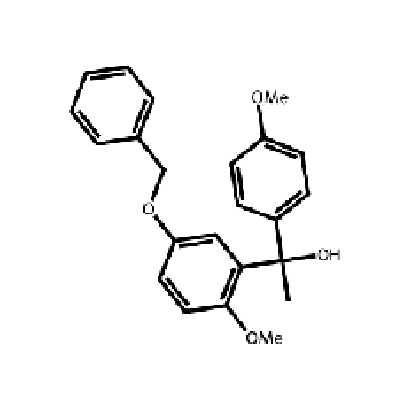 COc1ccc(C(C)(O)c2cc(OCc3ccccc3)ccc2OC)cc1